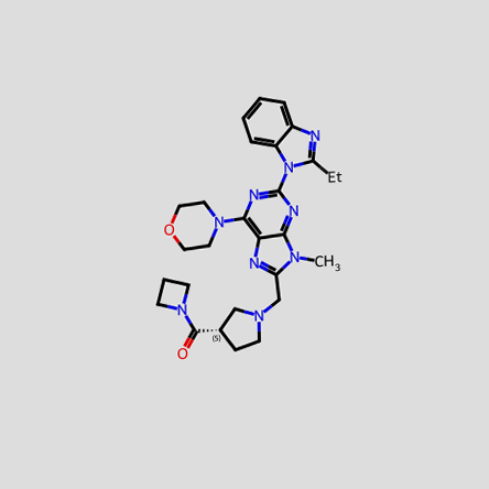 CCc1nc2ccccc2n1-c1nc(N2CCOCC2)c2nc(CN3CC[C@H](C(=O)N4CCC4)C3)n(C)c2n1